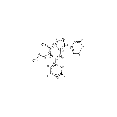 O=c1c2cnn(C3=CCCC=C3)c2nc(-c2cccnc2)n1CCCl